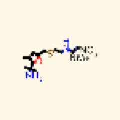 CN/C(=C\[N+](=O)[O-])NCCSCc1cc(C)c(C(C)(C)N)o1